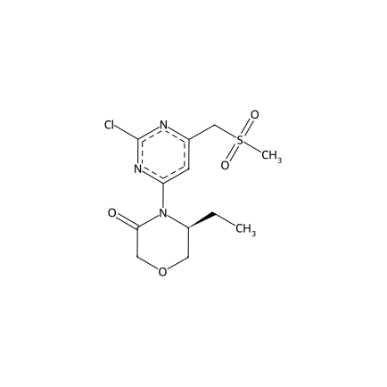 CC[C@H]1COCC(=O)N1c1cc(CS(C)(=O)=O)nc(Cl)n1